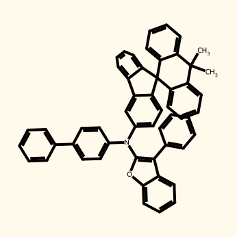 CC1(C)c2ccccc2C2(c3ccccc3-c3cc(N(c4ccc(-c5ccccc5)cc4)c4oc5ccccc5c4-c4ccccc4)ccc32)c2ccccc21